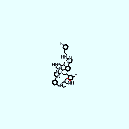 CCN(Cc1cccc(-c2ccnc(N(CCc3cccc(F)c3)C(c3cccc(-c4ccnc(NCCc5cccc(F)c5)n4)c3)N3CCNCC3C(C)C)n2)c1)C[C@H]1CCCNC1